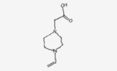 C=CN1CCN(CC(=O)O)CC1